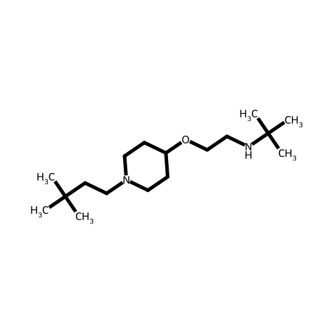 CC(C)(C)CCN1CCC(OCCNC(C)(C)C)CC1